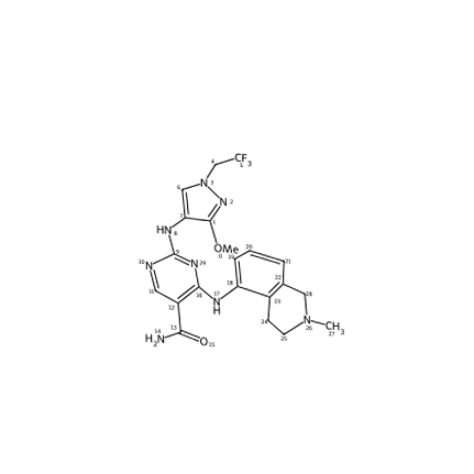 COc1nn(CC(F)(F)F)cc1Nc1ncc(C(N)=O)c(Nc2cccc3c2CCN(C)C3)n1